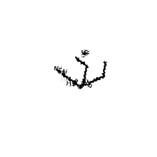 CCCCCCCC/C=C\CCCCCCCC(=O)OCC(C[N+](C)(C)CCNC(=O)NCCCNCCCCNCCCN)OC(=O)CCCCCCC/C=C\CCCCCCCC.O=C([O-])C(F)(F)F